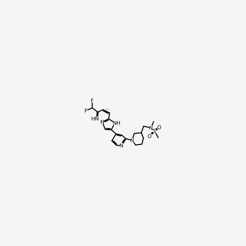 CN(CC1CCCN(c2cc(-c3cnc(/C=C\C(=N)C(F)F)[nH]3)ccn2)C1)S(C)(=O)=O